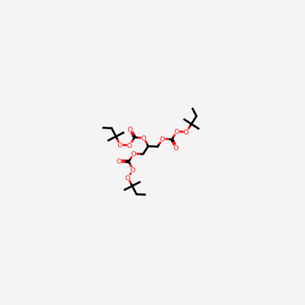 CCC(C)(C)OOC(=O)OCC(COC(=O)OOC(C)(C)CC)OC(=O)OOC(C)(C)CC